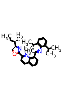 CC[C@H](C)[C@@H]1COC(c2ccc3cccc(/C(C)=N/c4c(C(C)C)cccc4C(C)C)c3n2)=N1